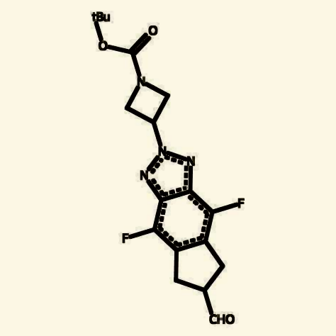 CC(C)(C)OC(=O)N1CC(n2nc3c(F)c4c(c(F)c3n2)CC(C=O)C4)C1